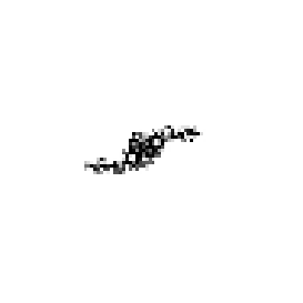 CCOCCOc1ccc(C(c2ccc(OCCOCC)cc2)(C(F)(F)F)C(F)(F)F)cc1